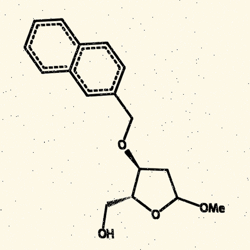 COC1C[C@H](OCc2ccc3ccccc3c2)[C@@H](CO)O1